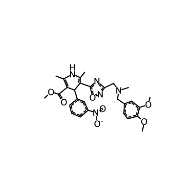 COC(=O)C1=C(C)NC(C)=C(c2nc(CN(C)Cc3ccc(OC)c(OC)c3)no2)C1c1cccc([N+](=O)[O-])c1